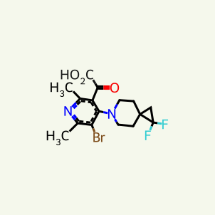 Cc1nc(C)c(C(=O)C(=O)O)c(N2CCC3(CC2)CC3(F)F)c1Br